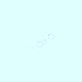 C=C(C)c1c(-c2cc(C)nc(C)c2)[nH]c2cc3c(nc12)CN(C(=O)OC(C)(C)C)CC3